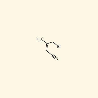 CC(=CC#N)CBr